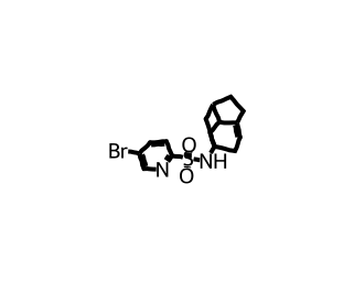 O=S(=O)(NC12CC=C3CCC(C1)C3C2)c1ccc(Br)cn1